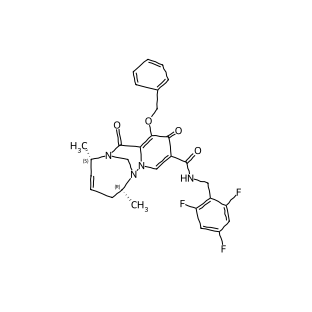 C[C@@H]1CC=C[C@H](C)N2CN1n1cc(C(=O)NCc3c(F)cc(F)cc3F)c(=O)c(OCc3ccccc3)c1C2=O